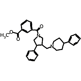 COC(=O)c1cccc(C(=O)N2CC(CN3CCC(c4ccccc4)CC3)C(c3ccccc3)C2)c1